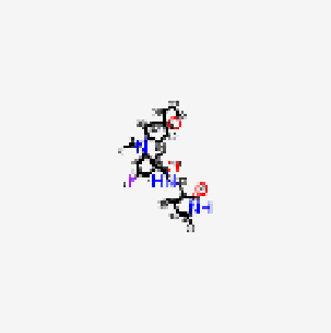 CCN(c1cc(I)cc(C(=O)NCc2c(C)cc(C)[nH]c2=O)c1C)C1CCC2(CCCO2)CC1